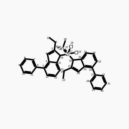 CCC1=Cc2c(-c3ccccc3)cccc2[CH]1[Zr]([Cl])([Cl])([CH]1C(CC)=Cc2c(-c3ccccc3)cccc21)=[Sn]([CH3])[CH3]